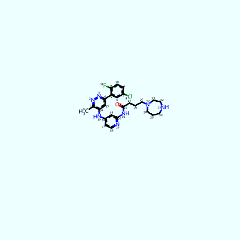 Cc1nnc(-c2cc(Cl)ccc2F)cc1Nc1ccnc(NC(=O)CCCN2CCCNCC2)c1